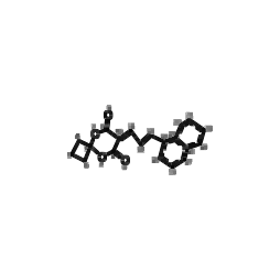 O=C1OC2(CCC2)OC(=O)C1=CC=Cc1cccc2ccccc12